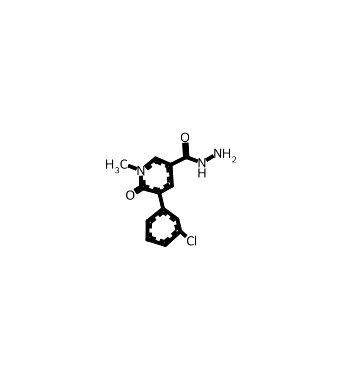 Cn1cc(C(=O)NN)cc(-c2cccc(Cl)c2)c1=O